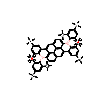 C[Si](C)(C)c1cc2c(c([Si](C)(C)C)c1)B(c1c([Si](C)(C)C)cc([Si](C)(C)C)cc1[Si](C)(C)C)c1ccc3cc4c5c(ccc6cc-2c1c3c65)B(c1c([Si](C)(C)C)cc([Si](C)(C)C)cc1[Si](C)(C)C)c1c-4cc([Si](C)(C)C)cc1[Si](C)(C)C